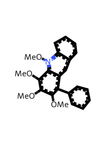 COc1c(OC)c(OC)c2c(cc3ccccc3[n+]2OC)c1-c1ccccc1